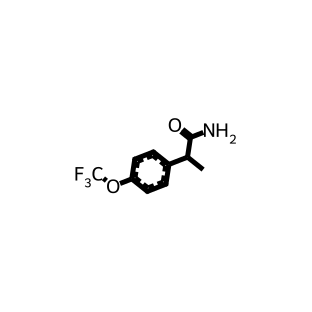 CC(C(N)=O)c1ccc(OC(F)(F)F)cc1